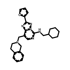 c1coc(-c2nc3c(CN4CCc5ccccc5C4)cnc(NCC4CCCCC4)n3n2)c1